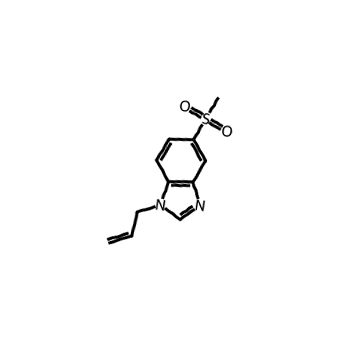 C=CCn1cnc2cc(S(C)(=O)=O)ccc21